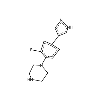 Fc1cc(-c2cn[nH]c2)ccc1N1CCNCC1